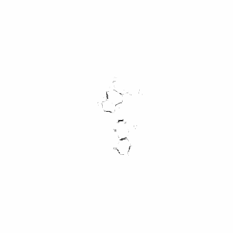 COc1cc(F)ccc1CC(=O)c1c[nH]c2cc(F)c(C)cc12